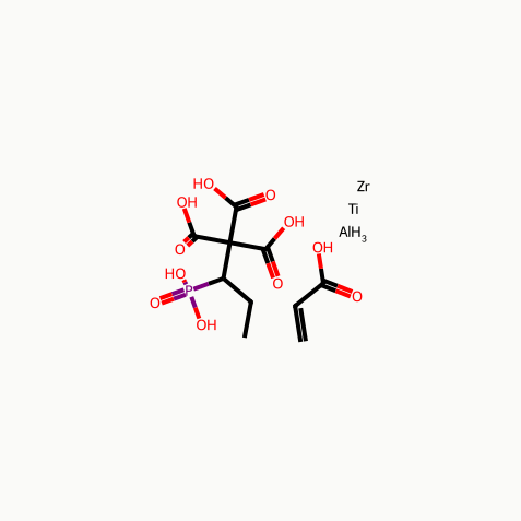 C=CC(=O)O.CCC(C(C(=O)O)(C(=O)O)C(=O)O)P(=O)(O)O.[AlH3].[Ti].[Zr]